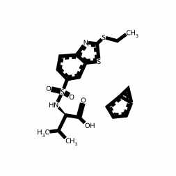 CCSc1nc2ccc(S(=O)(=O)N[C@@H](C(=O)O)C(C)C)cc2s1.c1cc2cc-2c1